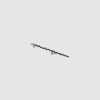 CCCCCC=CCC=CCC(O)CCCCCCCCCCCC(=O)O